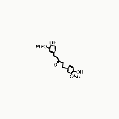 COc1cc(CCC(=O)CCc2ccc(O)c(OC)c2)ccc1O